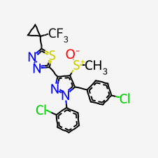 C[S+]([O-])c1c(-c2nnc(C3(C(F)(F)F)CC3)s2)nn(-c2ccccc2Cl)c1-c1ccc(Cl)cc1